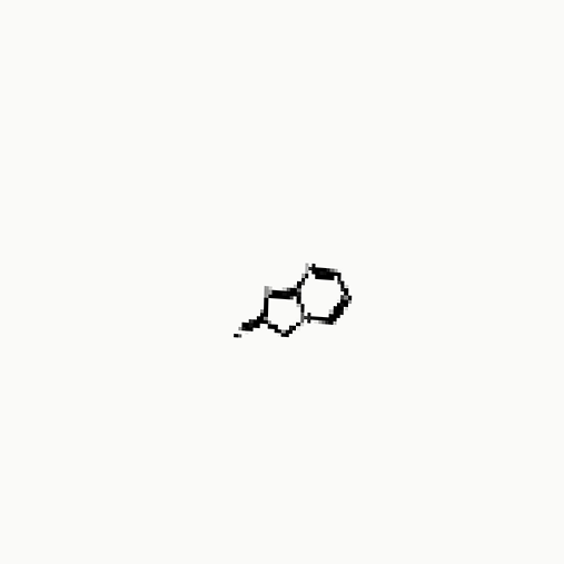 O=C1CN2C=CC=NC2=N1